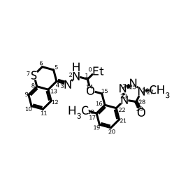 CCC(NN=C1CCSc2ccccc21)OCc1c(C)cccc1-n1nnn(C)c1=O